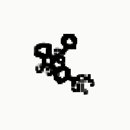 CC(C)c1ccc2c(c1)OC1(OCc3ccccc3)C3=CCCC=C3C(=O)C21O